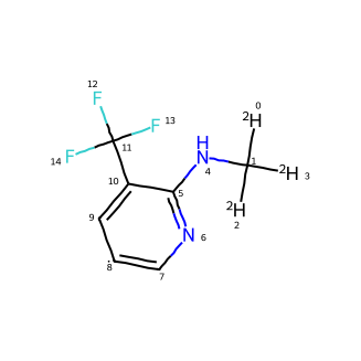 [2H]C([2H])([2H])Nc1nc[c]cc1C(F)(F)F